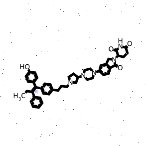 CC/C(=C(\c1ccc(O)cc1)c1ccc(CCCN2CCC(N3CCN(c4ccc5c(c4)CN(C4CCC(=O)NC4=O)C5=O)CC3)C2)cc1)c1ccccc1